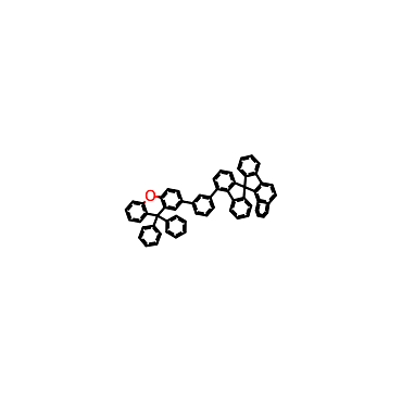 c1ccc(C2(c3ccccc3)c3ccccc3Oc3ccc(-c4cccc(-c5cccc6c5-c5ccccc5C65c6ccccc6-c6ccc7ccccc7c65)c4)cc32)cc1